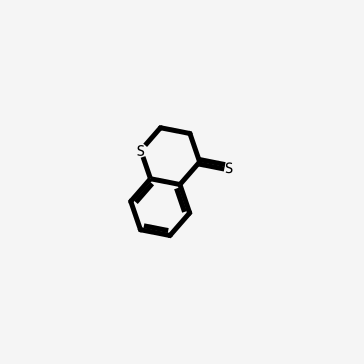 S=C1CCSc2ccccc21